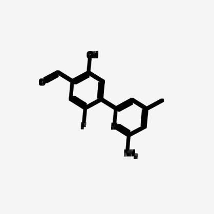 Cc1cc(N)nc(-c2cc(O)c(C=O)cc2F)c1